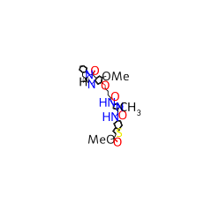 COC(=O)c1cc2cc(NC(=O)c3cc(NC(=O)CCCOc4cc5c(cc4OC)C(=O)N4c6ccccc6C[C@H]4C=N5)cn3C)ccc2s1